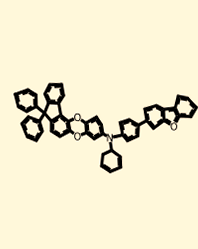 C1=CCC(N(c2ccc(-c3ccc4c(c3)oc3ccccc34)cc2)c2ccc3c(c2)Oc2ccc4c(c2O3)-c2ccccc2C4(c2ccccc2)c2ccccc2)C=C1